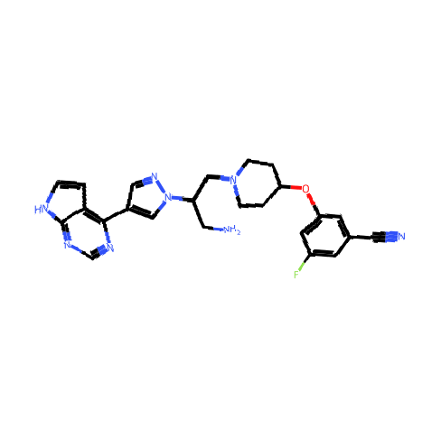 N#Cc1cc(F)cc(OC2CCN(CC(CN)n3cc(-c4ncnc5[nH]ccc45)cn3)CC2)c1